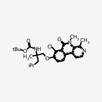 Cc1nccc2c3ccc(OCC(C)(CC(C)C)NC(=O)OC(C)(C)C)c(Cl)c3c(=O)n(C)c12